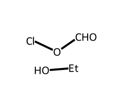 CCO.O=COCl